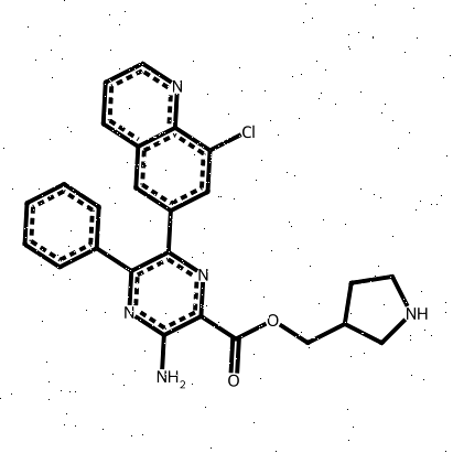 Nc1nc(-c2ccccc2)c(-c2cc(Cl)c3ncccc3c2)nc1C(=O)OCC1CCNC1